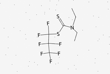 CCN(CC)C(=S)SC(F)(F)C(F)(F)C(F)(F)F